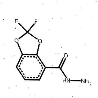 NNC(=O)c1cccc2c1OC(F)(F)O2